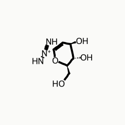 N=[N+]=N.OC[C@H]1OC=C[C@@H](O)[C@@H]1O